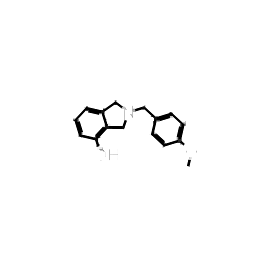 COc1ccc(CN2Cc3cccc(O)c3C2)cc1